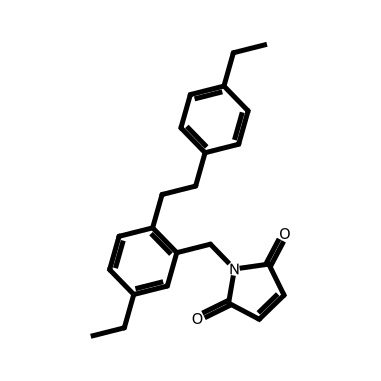 CCc1ccc(CCc2ccc(CC)cc2CN2C(=O)C=CC2=O)cc1